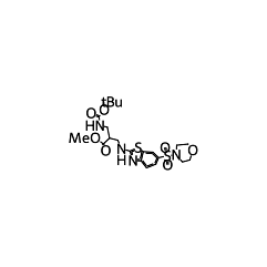 COC(=O)C(CNC(=O)OC(C)(C)C)CNc1nc2ccc(S(=O)(=O)N3CCOCC3)cc2s1